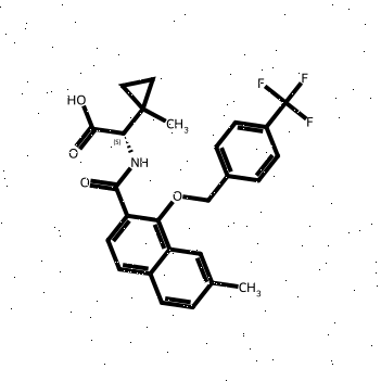 Cc1ccc2ccc(C(=O)N[C@H](C(=O)O)C3(C)CC3)c(OCc3ccc(C(F)(F)F)cc3)c2c1